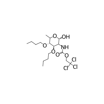 CCCCO[C@@H]1C(C)O[C@@H](O)C(NC(=O)OCC(Cl)(Cl)Cl)[C@H]1OCCCC